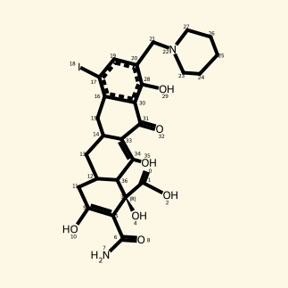 C=C(O)[C@]1(O)C(C(N)=O)=C(O)CC2CC3Cc4c(I)cc(CN5CCCCC5)c(O)c4C(=O)C3=C(O)C21